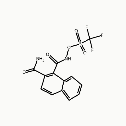 NC(=O)c1ccc2ccccc2c1C(=O)NOS(=O)(=O)C(F)(F)F